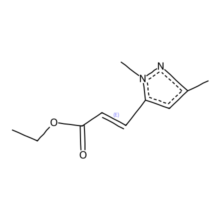 CCOC(=O)/C=C/c1cc(C)nn1C